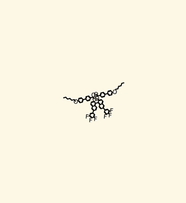 CCCCCCOc1ccc(-c2ccc(C(=O)Oc3ccc4cc(-c5cc(F)c(F)c(F)c5)ccc4c3-c3c(OC(=O)c4ccc(-c5ccc(OCCCCCC)cc5)cc4)ccc4cc(-c5cc(F)c(F)c(F)c5)ccc34)cc2)cc1